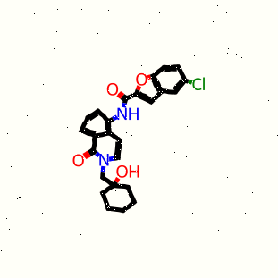 O=C(Nc1cccc2c(=O)n(CC3(O)CCCCC3)ccc12)c1cc2cc(Cl)ccc2o1